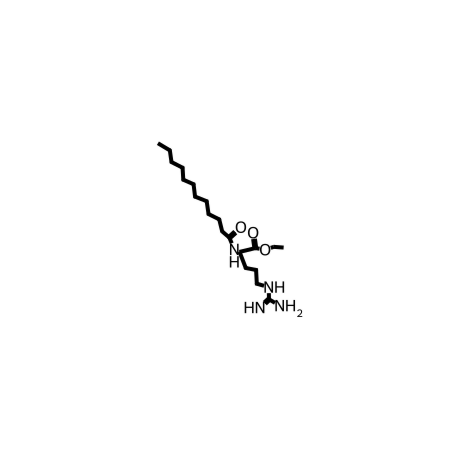 CCCCCCCCCCCC(=O)NC(CCCNC(=N)N)C(=O)OCC